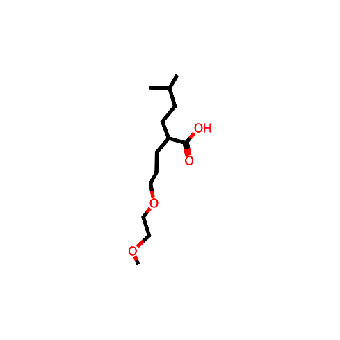 COCCOCCCC(CCC(C)C)C(=O)O